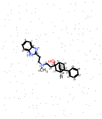 CN(CCc1nc2ccccc2[nH]1)CCC1(O)C[C@@H]2CCC1C=C2c1ccccc1